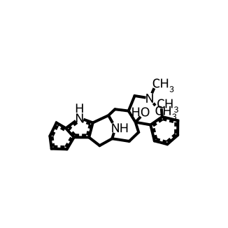 Cc1ccccc1C1(O)CCC2Cc3c([nH]c4ccccc34)C(CC1CN(C)C)N2